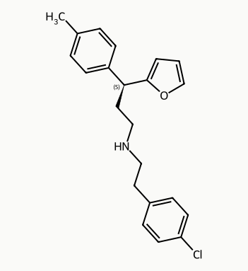 Cc1ccc([C@H](CCNCCc2ccc(Cl)cc2)c2ccco2)cc1